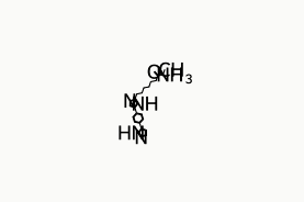 CNC(=O)CCCCCCc1ncc(-c2ccc(-c3ccn[nH]3)cc2)[nH]1